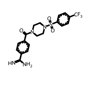 N=C(N)c1ccc(C(=O)N2CCN(S(=O)(=O)c3ccc(C(F)(F)F)cc3)CC2)cc1